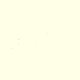 CCCCC1CN(c2ccccc2)c2cc(SC)c(OCCN3C(=O)CNC3=O)cc2S(=O)(=O)N1C